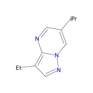 CCc1cnn2cc(C(C)C)cnc12